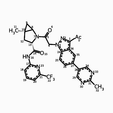 CC(=O)c1nn(CC(=O)N2C3C[C@]3(C)C[C@H]2C(=O)Nc2cccc(C(F)(F)F)n2)c2ccc(-c3cnc(C)nc3)cc12